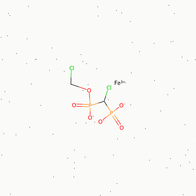 O=P([O-])([O-])C(Cl)P(=O)([O-])OCCl.[Fe+3]